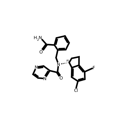 NC(=O)c1ccccc1CN(C(=O)c1cnccn1)[C@@H]1CCc2c(F)cc(Cl)cc21